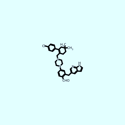 CC1(C)CCC(CN2CCN(c3ccc(C=O)c(Cc4cnc5[nH]ccc5c4)c3)CC2)=C(c2ccc(Cl)cc2)C1